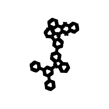 c1ccc(-c2cc(-c3ccccc3)cc(-n3c4ccccc4c4cc(-c5ccc6c(c5)c5ccccc5n6-c5nc6ccccc6nc5-c5ccccc5)ccc43)c2)cc1